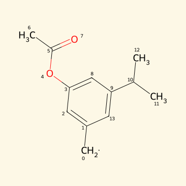 [CH2]c1cc(OC(C)=O)cc(C(C)C)c1